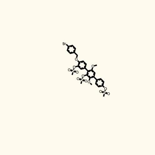 COc1cc(-c2ccc(OS(C)(=O)=O)cc2)c(OC)c(OS(C)(=O)=O)c1-c1ccc(OCc2ccc(Br)cc2)c(OS(C)(=O)=O)c1